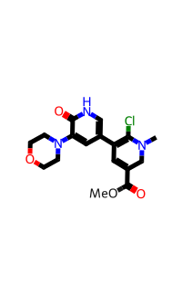 COC(=O)C1=CC(c2c[nH]c(=O)c(N3CCOCC3)c2)=C(Cl)N(C)C1